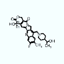 CC[C@@]1(O)C(=O)OCc2c1cc1n(c2=O)Cc2c-1nc1cc(F)c(C)cc1c2CN1CCC(C(C)O)CC1